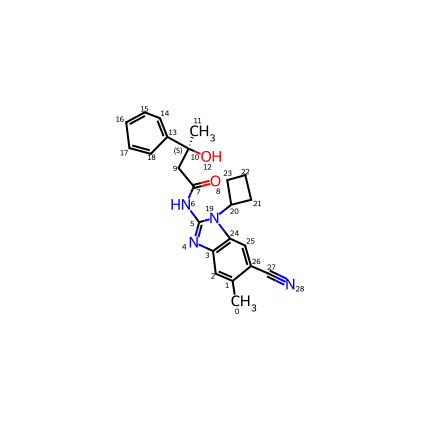 Cc1cc2nc(NC(=O)C[C@](C)(O)c3ccccc3)n(C3CCC3)c2cc1C#N